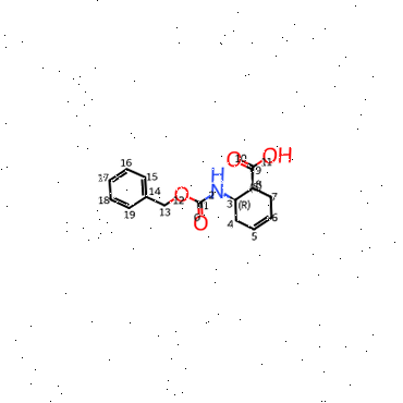 O=C(N[C@@H]1CC=CC[C@@H]1C(=O)O)OCc1ccccc1